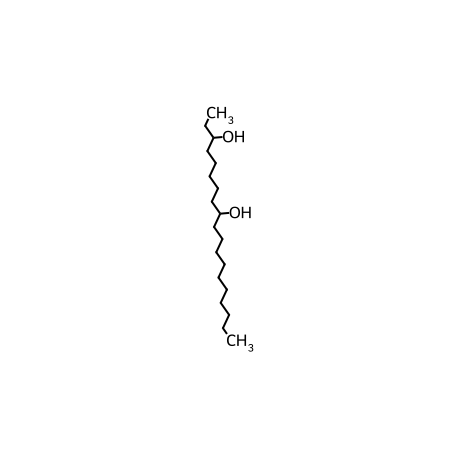 CCCCCCCCCCC(O)CCCCCC(O)CC